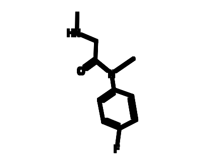 CNCC(=O)N(C)c1ccc(F)cc1